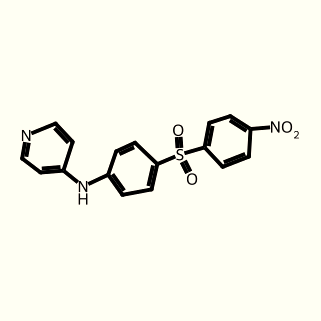 O=[N+]([O-])c1ccc(S(=O)(=O)c2ccc(Nc3ccncc3)cc2)cc1